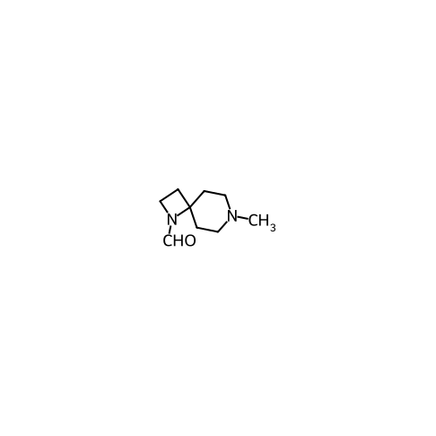 CN1CCC2(CC1)CCN2C=O